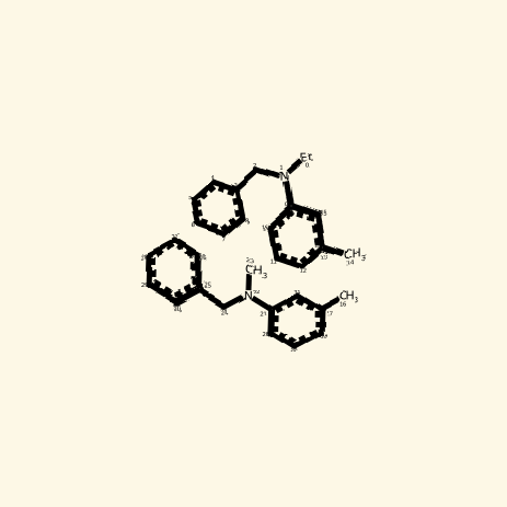 CCN(Cc1ccccc1)c1cccc(C)c1.Cc1cccc(N(C)Cc2ccccc2)c1